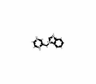 c1ccc2c(c1)ncn2Cc1cnccn1